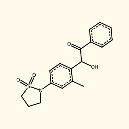 Cc1cc(N2CCCS2(=O)=O)ccc1C(O)C(=O)c1ccccc1